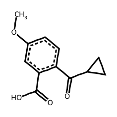 COc1ccc(C(=O)C2CC2)c(C(=O)O)c1